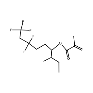 C=C(C)C(=O)OC(CCC(F)(F)CC(F)(F)F)C(C)CC